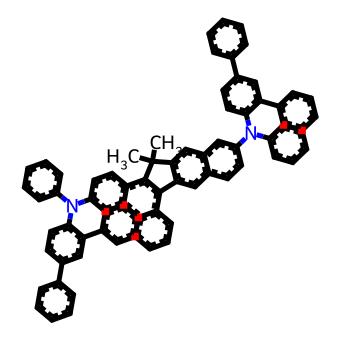 CC1(C)c2cc3cc(N(c4ccccc4)c4ccc(-c5ccccc5)cc4-c4ccccc4)ccc3cc2-c2c1c1ccc(N(c3ccccc3)c3ccc(-c4ccccc4)cc3-c3ccccc3)cc1c1ccccc21